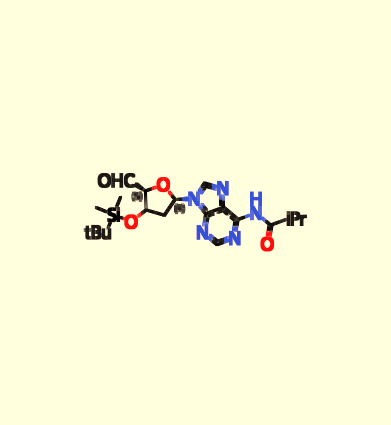 CC(C)C(=O)Nc1ncnc2c1ncn2[C@H]1CC(O[Si](C)(C)C(C)(C)C)[C@@H](C=O)O1